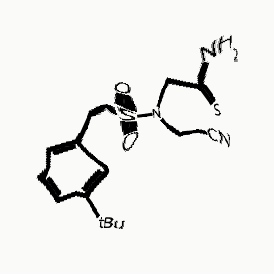 CC(C)(C)c1cccc(CS(=O)(=O)N(CC#N)CC(N)=S)c1